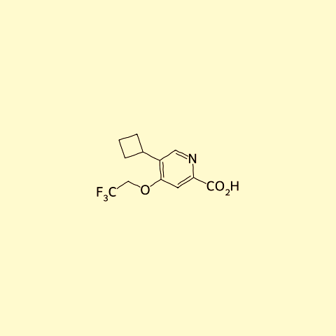 O=C(O)c1cc(OCC(F)(F)F)c(C2CCC2)cn1